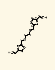 OCC1CSC(CSCCSCC2SCC(CO)S2)S1